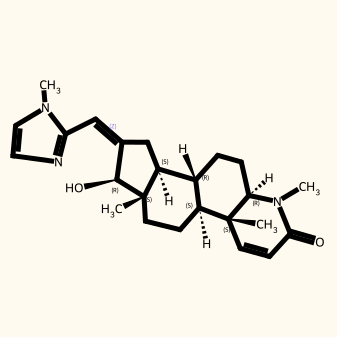 CN1C(=O)C=C[C@]2(C)[C@H]3CC[C@]4(C)[C@@H](O)/C(=C\c5nccn5C)C[C@H]4[C@@H]3CC[C@@H]12